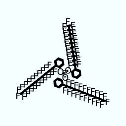 FC(F)(F)C(F)(F)C(F)(F)C(F)(F)C(F)(F)C(F)(F)C(F)(F)C(F)(F)C(F)(F)C(F)(F)c1ccccc1OP(Oc1ccccc1C(F)(F)C(F)(F)C(F)(F)C(F)(F)C(F)(F)C(F)(F)C(F)(F)C(F)(F)C(F)(F)C(F)(F)F)Oc1ccccc1C(F)(F)C(F)(F)C(F)(F)C(F)(F)C(F)(F)C(F)(F)C(F)(F)C(F)(F)C(F)(F)C(F)(F)F